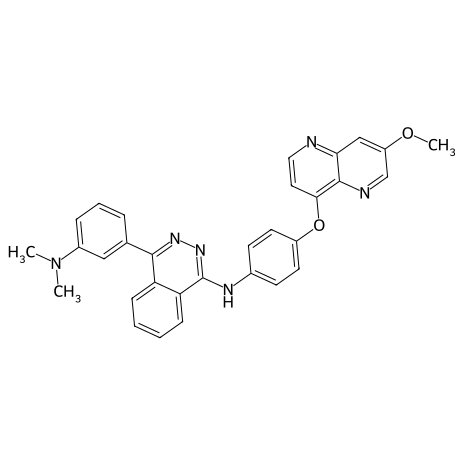 COc1cnc2c(Oc3ccc(Nc4nnc(-c5cccc(N(C)C)c5)c5ccccc45)cc3)ccnc2c1